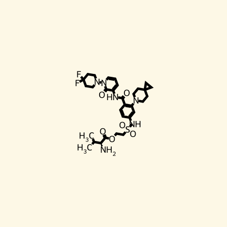 CC(C)[C@H](N)C(=O)OCCS(=O)(=O)Nc1ccc(C(=O)Nc2cccn(N3CCC(F)(F)CC3)c2=O)c(N2CCC3(CC2)CC3)c1